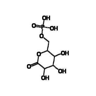 O=C1OC(COP(=O)(O)O)C(O)C(O)C1O